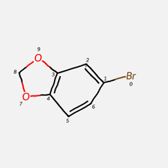 Brc1[c]c2c(cc1)OCO2